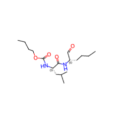 CCCCOC(=O)N[C@@H](CC(C)C)C(=O)N[C@H](C=O)CCCC